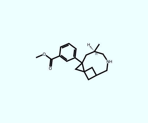 COC(=O)c1cccc(C23C[C@@H](C)CNCC4CC2(C4)C3)c1